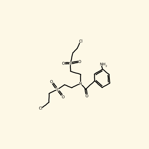 Nc1cccc(C(=O)N(CCS(=O)(=O)CCCl)CCS(=O)(=O)CCCl)c1